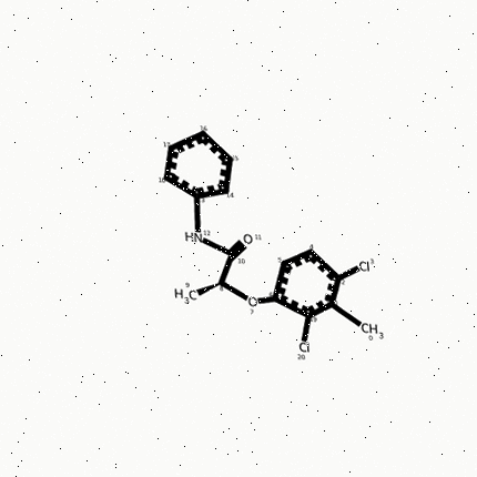 Cc1c(Cl)ccc(O[C@@H](C)C(=O)Nc2ccccc2)c1Cl